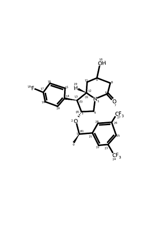 C[C@@H](O[C@H]1CN2C(=O)CC(O)C[C@H]2[C@@H]1c1ccc(F)cc1)c1cc(C(F)(F)F)cc(C(F)(F)F)c1